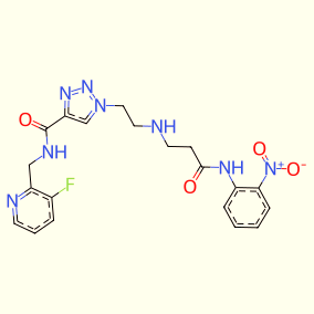 O=C(CCNCCn1cc(C(=O)NCc2ncccc2F)nn1)Nc1ccccc1[N+](=O)[O-]